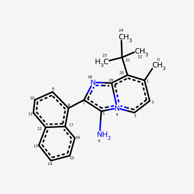 Cc1ccn2c(N)c(-c3cccc4ccccc34)nc2c1C(C)(C)C